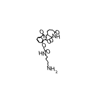 NCCCCNC(=O)COc1cccc2c1C(=O)N(C1CCCC(=O)NC1=O)C2=O